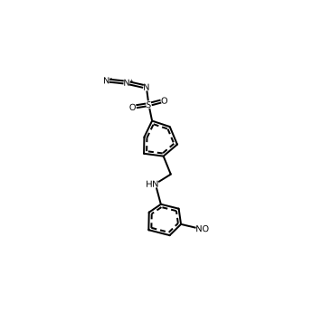 [N-]=[N+]=NS(=O)(=O)c1ccc(CNc2cccc(N=O)c2)cc1